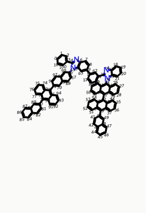 c1ccc(-c2nc3ccc(-c4cccc(-c5nc6ccccc6n5-c5c6ccccc6c(-c6c7ccccc7c(-c7ccc8ccccc8c7)c7ccccc67)c6ccccc56)c4)cc3n2-c2ccc3cc(-c4c5ccccc5c(-c5ccc6ccccc6c5)c5ccccc45)ccc3c2)cc1